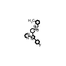 Cc1cccc(CS(=O)(=O)N2CCCC(c3cc(-c4ccc(F)cc4)nn3-c3ncccn3)C2)c1